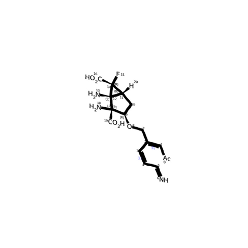 CC(=O)/C=C(\C=C/C=N)CO[C@@H]1C[C@@H]2[C@@](N)([C@@]2(F)C(=O)O)[C@]1(N)C(=O)O